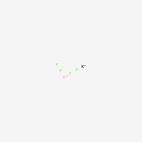 [B+3].[F-].[F-].[F-].[F-].[K+]